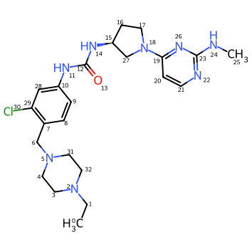 CCN1CCN(Cc2ccc(NC(=O)N[C@H]3CCN(c4ccnc(NC)n4)C3)cc2Cl)CC1